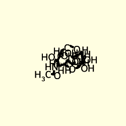 CC(=O)N[C@H]1[C@H](O)[C@H]2CCCO[C@H]3[C@H](O)[C@@H](O)C(O[C@@H]1[C@@H](CO)O2)O[C@@H]3CO